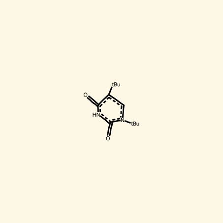 CC(C)(C)c1cn(C(C)(C)C)c(=O)[nH]c1=O